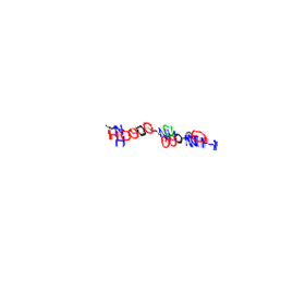 CCCNC[C@@H](O)COc1ccc(OCCCNC(=O)COc2ccc(C3=NNC(=O)CC3)cc2Cl)cc1